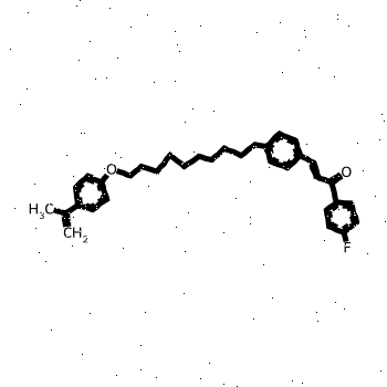 C=C(C)c1ccc(OCCCCCCCCCCc2ccc(C=CC(=O)c3ccc(F)cc3)cc2)cc1